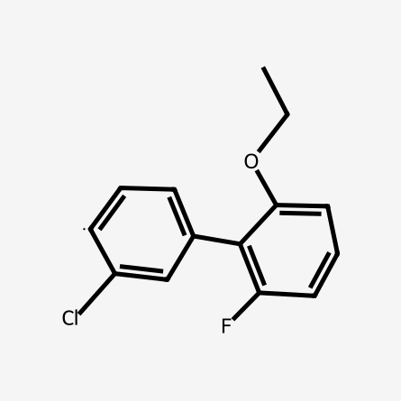 CCOc1cccc(F)c1-c1cc[c]c(Cl)c1